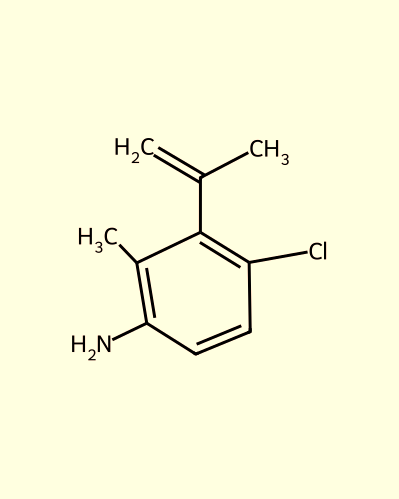 C=C(C)c1c(Cl)ccc(N)c1C